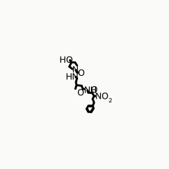 CC(CCNC(=O)N1CCC(O)CC1)CC(=O)NCC(=O)C(CCc1ccccc1)[N+](=O)[O-]